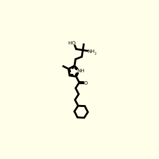 Cc1cc(C(=O)CCCC2CCCCC2)[nH]c1CCC(C)(N)CO